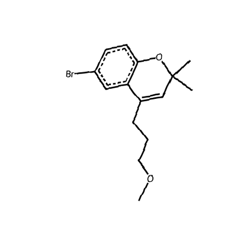 COCCCC1=CC(C)(C)Oc2ccc(Br)cc21